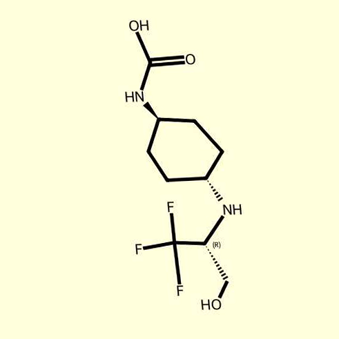 O=C(O)N[C@H]1CC[C@H](N[C@H](CO)C(F)(F)F)CC1